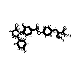 Cc1cc(C(=O)Oc2ccc(CC(N)C(=O)O)cc2)ccc1N1C(=O)CSC1c1ccc(F)cc1